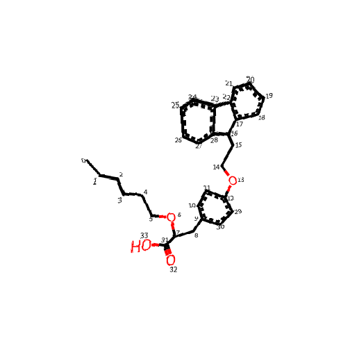 CCCCCCOC(Cc1ccc(OCCC2c3ccccc3-c3ccccc32)cc1)C(=O)O